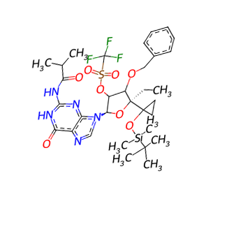 CC[C@]1(C2(O[Si](C)(C)C(C)(C)C)CC2)O[C@@H](n2cnc3c(=O)[nH]c(NC(=O)C(C)C)nc32)C(OS(=O)(=O)C(F)(F)F)C1OCc1ccccc1